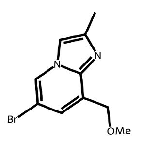 COCc1cc(Br)cn2cc(C)nc12